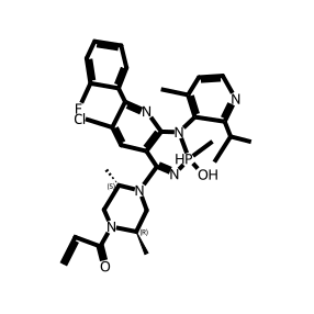 C=CC(=O)N1C[C@H](C)N(C2=N[PH](C)(O)N(c3c(C)ccnc3C(C)C)c3nc(-c4ccccc4F)c(Cl)cc32)C[C@H]1C